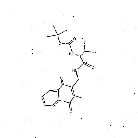 CC1=C(CNC(=O)[C@H](NC(=O)OC(C)(C)C)C(C)C)C(=O)c2ccccc2C1=O